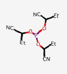 CCC(C#N)OP(OC(C#N)CC)OC(C#N)CC